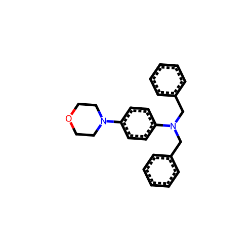 c1ccc(CN(Cc2ccccc2)c2ccc(N3CCOCC3)cc2)cc1